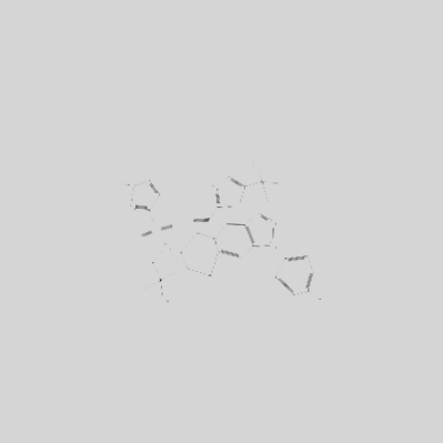 Cn1ccc(S(=O)(=O)N(CC(C)(C)O)[C@H]2CCC3=Cc4c(cnn4-c4ccc(F)cc4)C[C@]3(C(=O)c3ncc(C(F)(F)F)s3)C2)n1